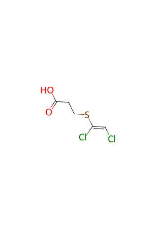 O=C(O)CCSC(Cl)=CCl